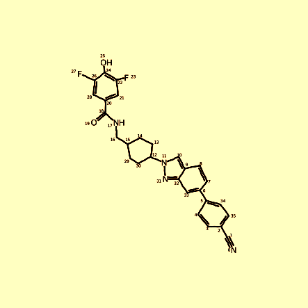 N#Cc1ccc(-c2ccc3cn(C4CCC(CNC(=O)c5cc(F)c(O)c(F)c5)CC4)nc3c2)cc1